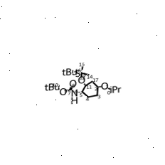 CC(C)O[C@H]1CC[C@H](NC(=O)OC(C)(C)C)[C@@H](O[Si](C)(C)C(C)(C)C)C1